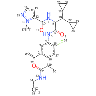 C=Cc1cc(NC(=O)C(NC(=O)c2ccnn2C(C)C)C(C2CC2)C2CC2)c(F)cc1C(C)C(=O)NCC(F)(F)F